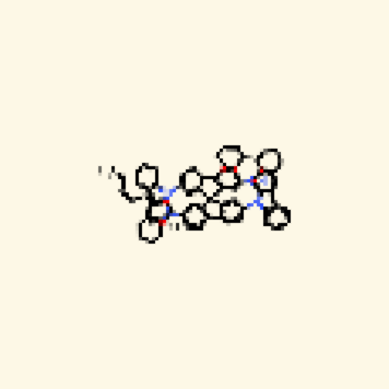 C=C/C=C\CC1CN(c2ccc3c(c2)C2(C4=CC(n5c6c(c7ccccc75)CCC=C6)=CCC4c4ccc(NC5=CCCC=C5C5C=CCCC5)cc42)c2cc(-n4c5ccccc5c5ccccc54)ccc2-3)[C@@H]2CCC=CC12